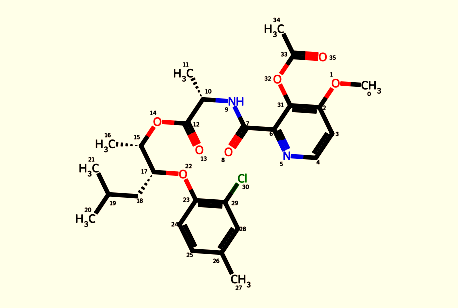 COc1ccnc(C(=O)N[C@@H](C)C(=O)O[C@@H](C)[C@@H](CC(C)C)Oc2ccc(C)cc2Cl)c1OC(C)=O